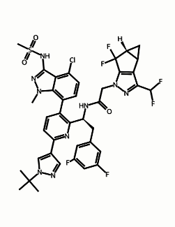 Cn1nc(NS(C)(=O)=O)c2c(Cl)ccc(-c3ccc(-c4cnn(C(C)(C)C)c4)nc3[C@H](Cc3cc(F)cc(F)c3)NC(=O)Cn3nc(C(F)F)c4c3C(F)(F)[C@@H]3CC43)c21